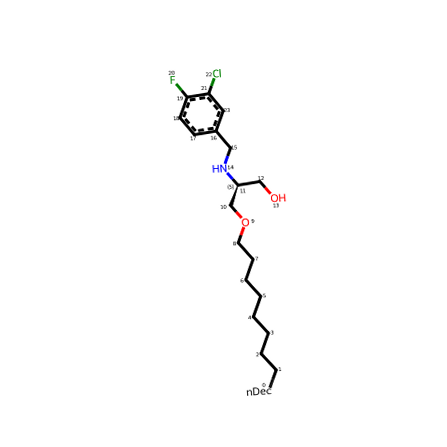 CCCCCCCCCCCCCCCCCCOC[C@H](CO)NCc1ccc(F)c(Cl)c1